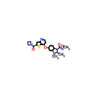 CNC(=O)C1c2ccc(Oc3ccnc4cc(C(=O)N5CCC5)sc34)cc2N(C)C1C